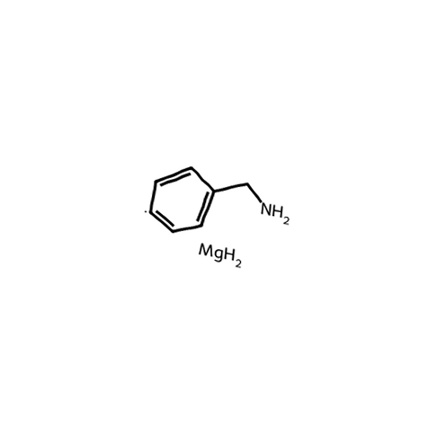 NCc1cc[c]cc1.[MgH2]